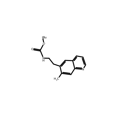 Cc1cc2ncccc2cc1CCNC(=O)OC(C)(C)C